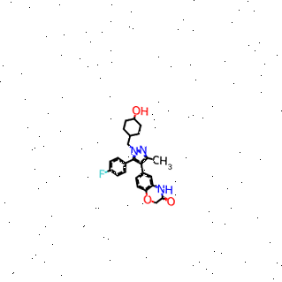 Cc1nn(CC2CCC(O)CC2)c(-c2ccc(F)cc2)c1-c1ccc2c(c1)NC(=O)CO2